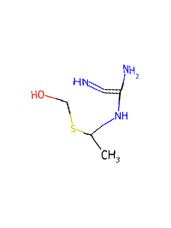 CC(NC(=N)N)SCO